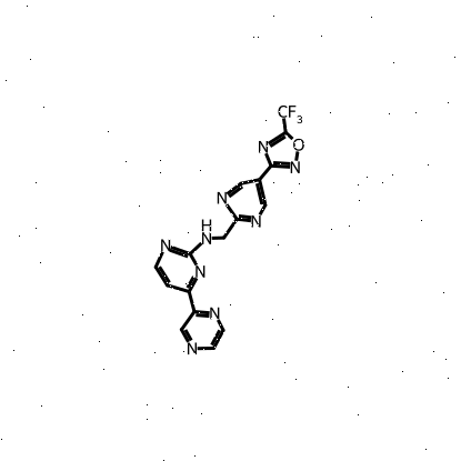 FC(F)(F)c1nc(-c2cnc(CNc3nccc(-c4cnccn4)n3)nc2)no1